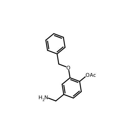 CC(=O)Oc1ccc(CN)cc1OCc1ccccc1